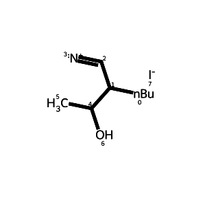 CCCCC(C=[N+])C(C)O.[I-]